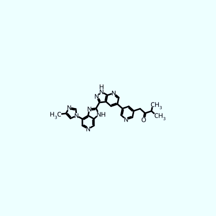 Cc1cn(-c2cncc3[nH]c(-c4n[nH]c5ncc(-c6cncc(CC(=O)C(C)C)c6)cc45)nc23)cn1